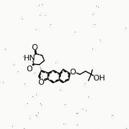 CC(C)(O)CCOc1ccc2cc3occ([C@H]4CCC(=O)NC4=O)c3cc2c1